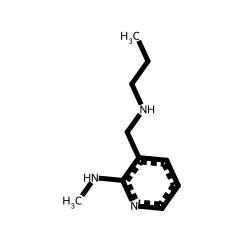 CCCNCc1cccnc1NC